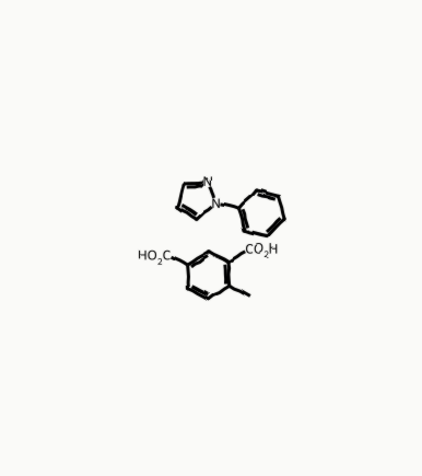 Cc1ccc(C(=O)O)cc1C(=O)O.c1ccc(-n2cccn2)cc1